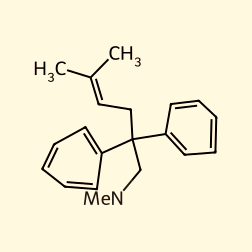 CNCC(CC=C(C)C)(c1ccccc1)c1ccccc1